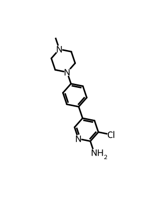 CN1CCN(c2ccc(-c3cnc(N)c(Cl)c3)cc2)CC1